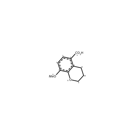 COc1ccc(C(=O)O)c2c1OCCC2